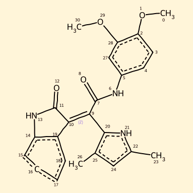 COc1ccc(NC(=O)/C(=C2\C(=O)Nc3ccccc32)c2[nH]c(C)cc2C)cc1OC